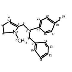 CN1CCN=C1CN(Cc1ccccc1)c1ccc(F)cc1